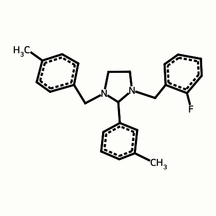 Cc1ccc(CN2CCN(Cc3ccccc3F)C2c2cccc(C)c2)cc1